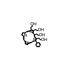 OCCC1=C(CCO)C2=NC1=CC1=NC(=CC3=NC(=CC4=NC(=C2CCO)C(CCO)=C4c2ccccc2)C=C3)C=C1